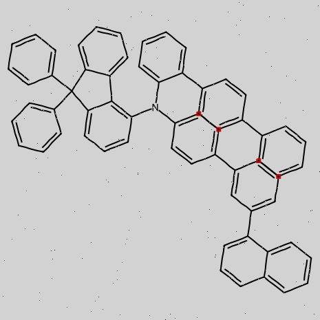 c1ccc(-c2ccc(-c3ccccc3N(c3ccc(-c4cccc(-c5cccc6ccccc56)c4)cc3)c3cccc4c3-c3ccccc3C4(c3ccccc3)c3ccccc3)cc2)cc1